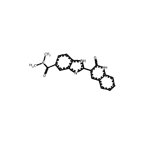 CN(C)C(=O)c1ccc2[nH]c(-c3cc4ccccc4[nH]c3=O)nc2c1